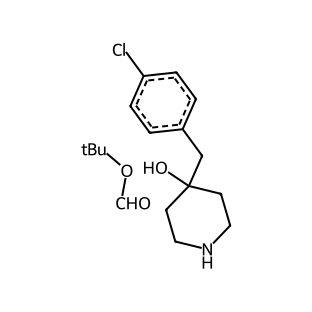 CC(C)(C)OC=O.OC1(Cc2ccc(Cl)cc2)CCNCC1